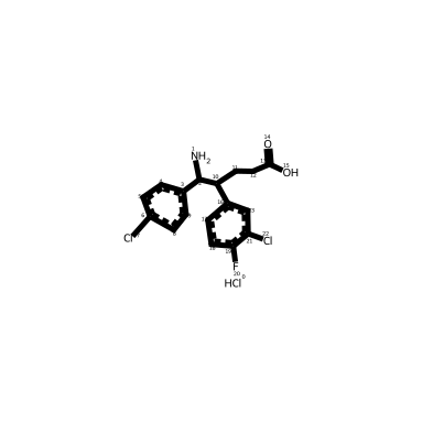 Cl.NC(c1ccc(Cl)cc1)C(CCC(=O)O)c1ccc(F)c(Cl)c1